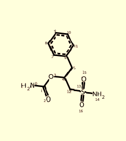 NC(=O)OC(Cc1ccccc1)CS(N)(=O)=O